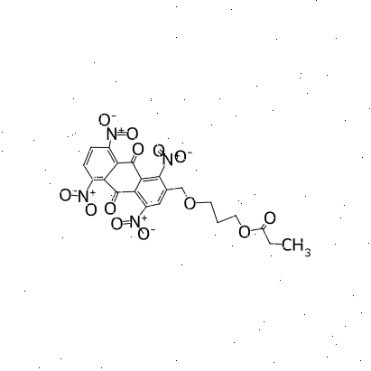 CCC(=O)OCCCOCc1cc([N+](=O)[O-])c2c(c1[N+](=O)[O-])C(=O)c1c([N+](=O)[O-])ccc([N+](=O)[O-])c1C2=O